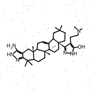 CN(C)CCc1c([C@]23CCC(C)(C)CC2C2=CCC4[C@@]5(C)Cc6c(n[nH]c6N)C(C)(C)C5CC[C@@]4(C)[C@]2(C)CC3)n[nH]c1O